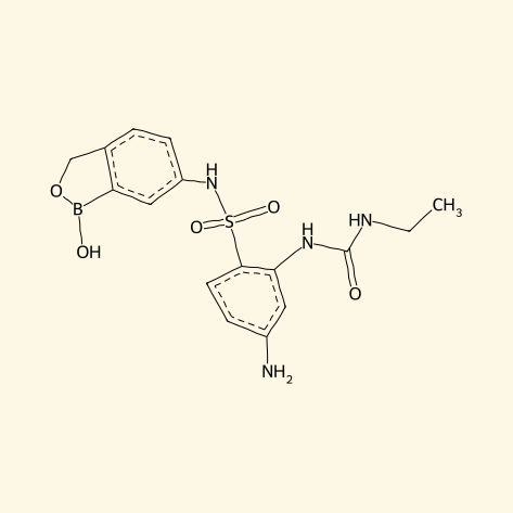 CCNC(=O)Nc1cc(N)ccc1S(=O)(=O)Nc1ccc2c(c1)B(O)OC2